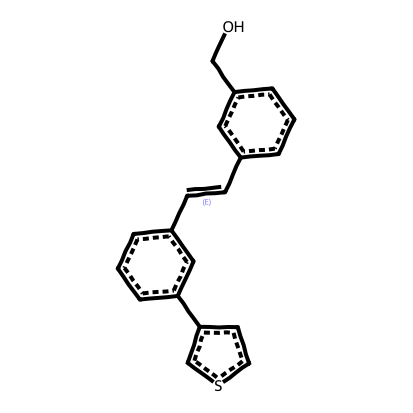 OCc1cccc(/C=C/c2cccc(-c3ccsc3)c2)c1